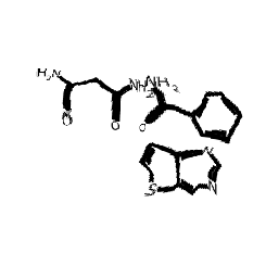 NC(=O)CC(N)=O.NC(=O)c1ccccc1.c1ncc2sccc2n1